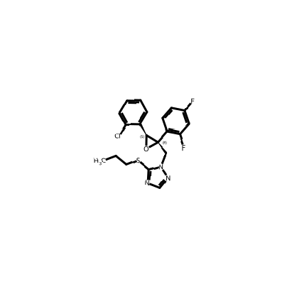 CCCSc1ncnn1C[C@@]1(c2ccc(F)cc2F)O[C@H]1c1ccccc1Cl